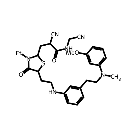 CCN1C(=O)C(CCNc2cccc(CCN(C)c3cccc(OC)c3)c2)SC1CC(C#N)C(=O)NCC#N